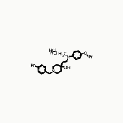 CC(C)Oc1ccc(N(C)CCC2(O)CCN(Cc3ccc(C(C)C)cc3)CC2)cc1.Cl.Cl